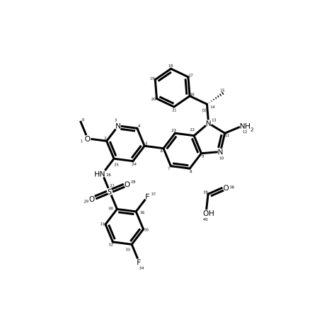 COc1ncc(-c2ccc3nc(N)n([C@@H](C)c4ccccc4)c3c2)cc1NS(=O)(=O)c1ccc(F)cc1F.O=CO